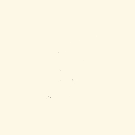 C=CCOc1cc(OC(C)C)ccc1-c1nc2cnccc2[nH]1